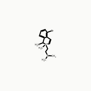 CN(C)CC[N+]1(C)C=Cc2c(Br)cccc2C1N